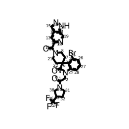 O=C(CN1C(=O)C2(CCN(C(=O)c3cc4cn[nH]c4cn3)CC2)c2c(Br)cccc21)N1CCC(C(F)(F)F)C1